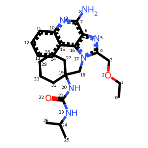 CCOCc1nc2c(N)nc3ccccc3c2n1CC1(NC(=O)NC(C)C)CCCCC1